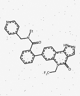 CCN(Cc1ccncc1)C(=O)c1ccccc1-c1ccc2c3[nH]ncc3c(=O)n(CC(F)(F)F)c2c1